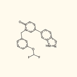 O=c1ccc(-c2ccc3cn[nH]c3c2)cn1Cc1cccc(OC(F)F)c1